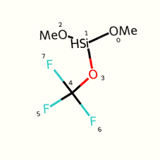 CO[SiH](OC)OC(F)(F)F